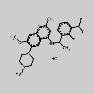 COc1cc2nc(C)cc(N[C@H](C)c3cccc(C(F)F)c3F)c2cc1N1CCN(C)CC1.Cl